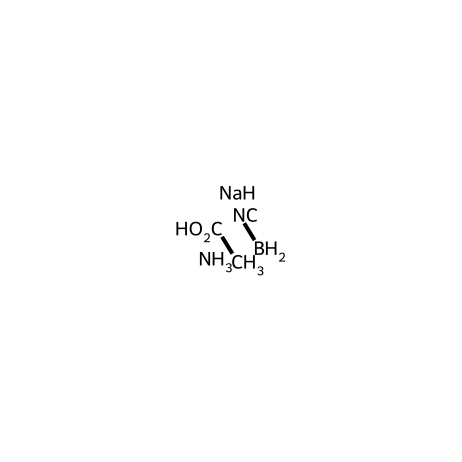 BC#N.CC(=O)O.N.[NaH]